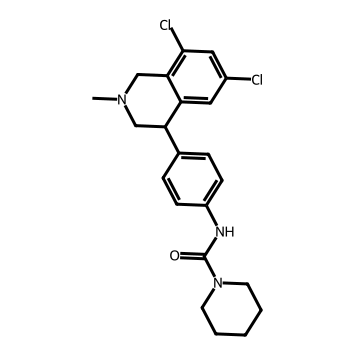 CN1Cc2c(Cl)cc(Cl)cc2C(c2ccc(NC(=O)N3CCCCC3)cc2)C1